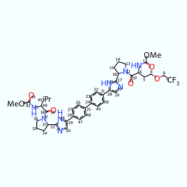 COC(=O)NC(CCOCC(F)(F)F)C(=O)N1CCCC1c1ncc(-c2ccc(-c3ccc(-c4cnc(C5CCCN5C(=O)C(NC(=O)OC)C(C)C)[nH]4)cc3)cc2)[nH]1